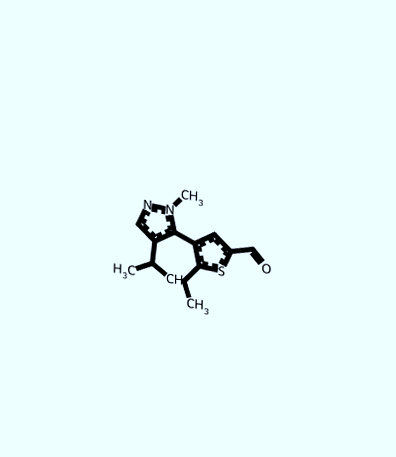 CCc1sc(C=O)cc1-c1c(C(C)C)cnn1C